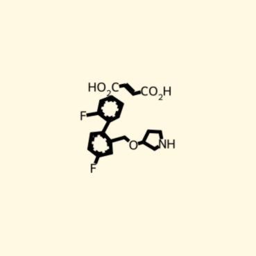 Fc1ccc(-c2ccccc2F)c(COC2CCNC2)c1.O=C(O)C=CC(=O)O